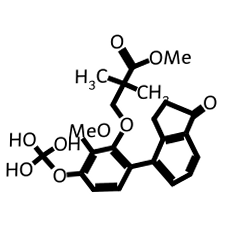 COC(=O)C(C)(C)COc1c(-c2cccc3c2CCC3=O)ccc(OC(O)(O)O)c1OC